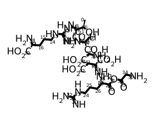 C[C@@H](O)[C@H](N)C(=O)O.C[C@H](N)C(=O)O.N=C(N)NCCC[C@H](N)C(=O)O.N=C(N)NCCC[C@H](N)C(=O)OC(=O)CN.NCC(=O)O.N[C@@H](CC(=O)O)C(=O)O